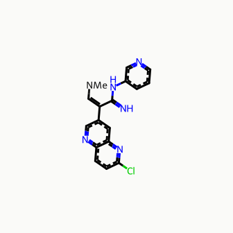 CN/C=C(\C(=N)Nc1cccnc1)c1cnc2ccc(Cl)nc2c1